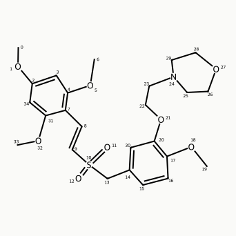 COc1cc(OC)c(C=CS(=O)(=O)Cc2ccc(OC)c(OCCN3CCOCC3)c2)c(OC)c1